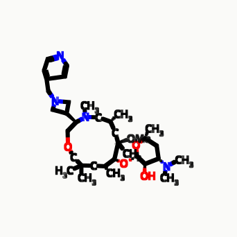 CO[C@]1(C)C[C@@H](C)CN(C)[C@H](C2CN(Cc3ccncc3)C2)COCC(C)(C)C[C@@H](C)[C@H]1O[C@@H]1O[C@H](C)C[C@H](N(C)C)[C@H]1O